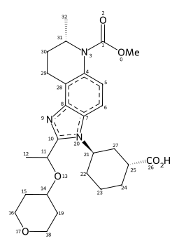 COC(=O)N1c2ccc3c(nc(C(C)OC4CCOCC4)n3[C@@H]3CCC[C@@H](C(=O)O)C3)c2CC[C@@H]1C